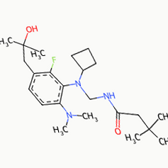 CN(C)c1ccc(CC(C)(C)O)c(F)c1N(CNC(=O)CC(C)(C)C)C1CCC1